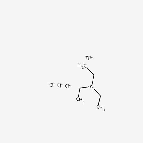 C[CH2][Al]([CH2]C)[CH2]C.[Cl-].[Cl-].[Cl-].[Ti+3]